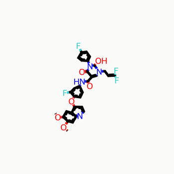 COc1cc2nccc(Oc3ccc(NC(=O)C4=CN(CC=C(F)F)C(O)N(c5ccc(F)cc5)C4=O)cc3F)c2cc1OC